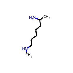 CNCCCCCC(C)N